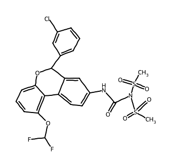 CS(=O)(=O)N(C(=O)Nc1ccc2c(c1)C(c1cccc(Cl)c1)Oc1cccc(OC(F)F)c1-2)S(C)(=O)=O